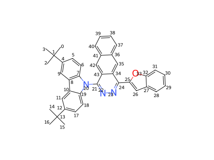 CC(C)(C)c1ccc2c(c1)c1cc(C(C)(C)C)ccc1n2-c1nnc(-c2cc3ccccc3o2)c2cc3ccccc3cc12